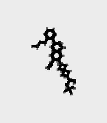 COCOc1ccccc1-c1cc2cc(C#N)c(N3CC4(CN(C(=O)OC(C)(C)C)C4)C3)cc2nn1